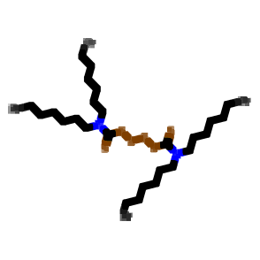 CC(C)CCCCCCN(CCCCCCC(C)C)C(=S)SSSSC(=S)N(CCCCCCC(C)C)CCCCCCC(C)C